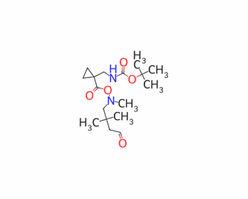 CN(CC(C)(C)CC=O)OC(=O)C1(CNC(=O)OC(C)(C)C)CC1